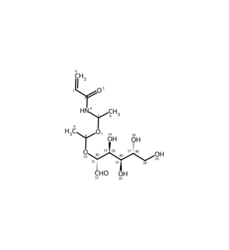 C=CC(=O)NC(C)OC(C)O[C@@H](C=O)[C@@H](O)[C@H](O)[C@H](O)CO